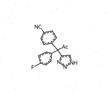 CC(=O)C(c1ccc(F)cc1)(c1ccc(C#N)cc1)c1c[nH]nn1